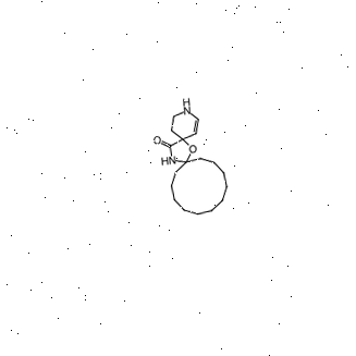 O=C1NC2(CCCCCCCCCCC2)OC12C=CNCC2